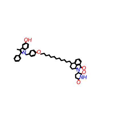 Cc1c(-c2ccccc2)n(Cc2ccc(OCCCCCCCCCCCCC3CCC4c5c(cccc53)C(=O)N4C3CCC(=O)NC3=O)cc2)c2ccc(O)cc12